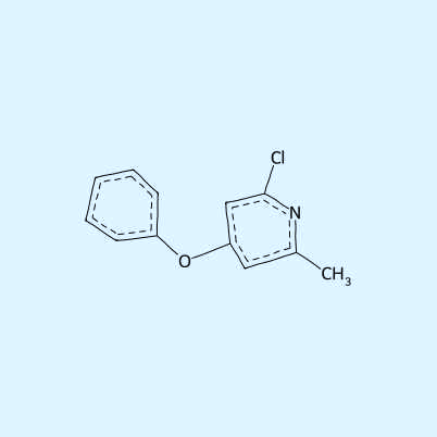 Cc1cc(Oc2ccccc2)cc(Cl)n1